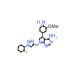 COc1cc(-c2cn(Cc3cn(-c4ccccc4F)nn3)c3ncnc(N)c23)ccc1N